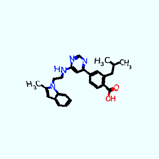 Cc1cc2ccccc2n1CCNc1cc(-c2ccc(C(=O)O)c(CC(C)C)c2)ncn1